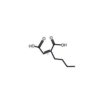 CCCC/C(=C/C(=O)O)C(=O)O